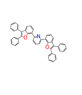 c1ccc(-c2oc3c(-c4cccc(-c5cccc6c(-c7ccccc7)c(-c7ccccc7)oc56)n4)cccc3c2-c2ccccc2)cc1